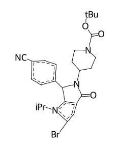 CC(C)n1c(Br)cc2c1C(c1ccc(C#N)cc1)N(C1CCN(C(=O)OC(C)(C)C)CC1)C2=O